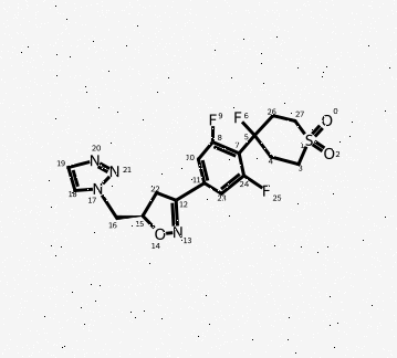 O=S1(=O)CCC(F)(c2c(F)cc(C3=NO[C@@H](Cn4ccnn4)C3)cc2F)CC1